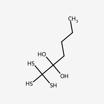 CCCCC(O)(O)C(S)(S)S